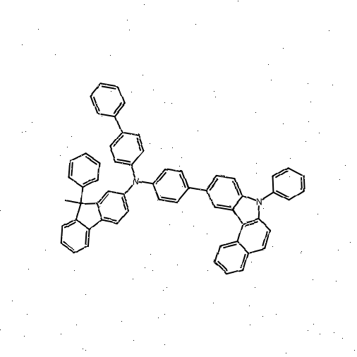 CC1(c2ccccc2)c2ccccc2-c2ccc(N(c3ccc(-c4ccccc4)cc3)c3ccc(-c4ccc5c(c4)c4c6ccccc6ccc4n5-c4ccccc4)cc3)cc21